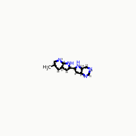 Cc1cnc2[nH]c(-c3cc4ncncc4[nH]3)cc2c1